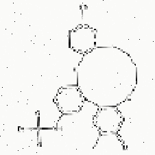 CCS(=O)(=O)Nc1ccc2c(c1)-c1cn(C)c(=O)cc1OCCCCc1cc(C#N)ccc1O2